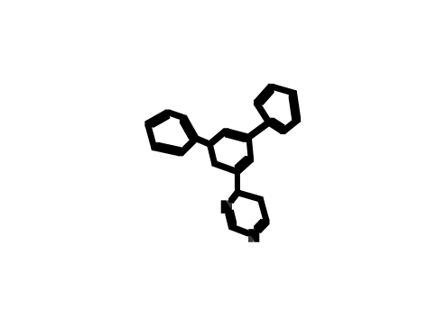 C1=NC=NC(C2=CC(c3ccccc3)=CC(c3ccccc3)C2)C1